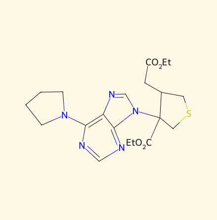 CCOC(=O)CC1CSCC1(C(=O)OCC)n1cnc2c(N3CCCC3)ncnc21